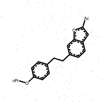 CCCOc1ccc(CCc2ccc3cc(C(C)=O)oc3c2)cc1